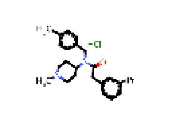 Cc1ccc(CN(C(=O)Cc2cccc(C(C)C)c2)C2CCN(C)CC2)cc1.Cl